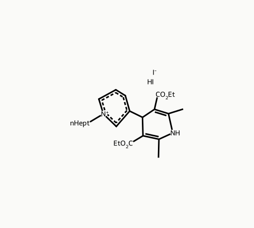 CCCCCCC[n+]1cccc(C2C(C(=O)OCC)=C(C)NC(C)=C2C(=O)OCC)c1.I.[I-]